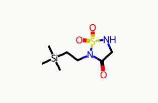 C[Si](C)(C)CCN1C(=O)CNS1(=O)=O